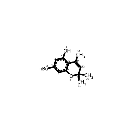 CCCCc1cc(O)c2c(c1)OC(C)(C)C=C2C